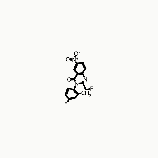 Cc1cc(F)ccc1-n1c(CF)nc2ccc([N+](=O)[O-])cc2c1=O